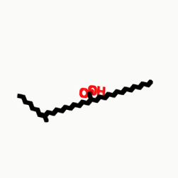 CCCCCCC=C(C)CCCCCCCCCCC(CCCCCCCCCCCCCC)C(=O)O